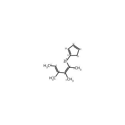 CC=C(C)C(C)=[C](C)[Zr][C]1=CC=CC1